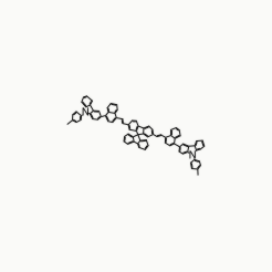 Cc1ccc(-n2c3ccccc3c3cc(-c4ccc(/C=C/c5ccc6c(c5)C5(c7ccccc7-c7ccccc75)c5cc(/C=C/c7ccc(-c8ccc9c(c8)c8ccccc8n9-c8ccc(C)cc8)c8ccccc78)ccc5-6)c5ccccc45)ccc32)cc1